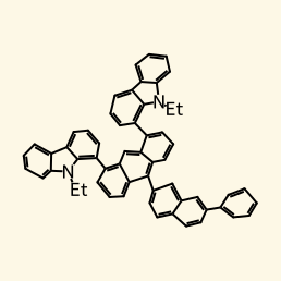 CCn1c2ccccc2c2cccc(-c3cccc4c(-c5ccc6ccc(-c7ccccc7)cc6c5)c5cccc(-c6cccc7c8ccccc8n(CC)c67)c5cc34)c21